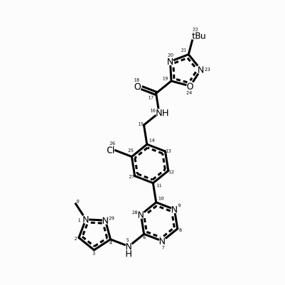 Cn1ccc(Nc2ncnc(-c3ccc(CNC(=O)c4nc(C(C)(C)C)no4)c(Cl)c3)n2)n1